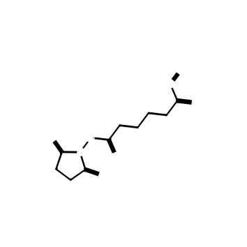 C=PC(=O)CCCCC(=O)ON1C(=O)CCC1=O